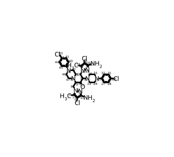 Cc1c(Cl)c(N)nn1CC(C(=O)C(Cn1nc(N)c(Cl)c1C)N1CCN(c2ccc(Cl)cc2)CC1)N1CCN(c2ccc(Cl)cc2)CC1